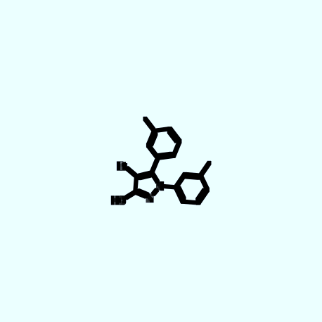 CCc1c(O)nn(-c2cccc(C)c2)c1-c1cccc(C)c1